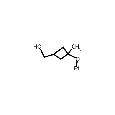 CCOC1(C)CC(CO)C1